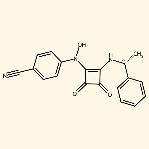 C[C@@H](Nc1c(N(O)c2ccc(C#N)cc2)c(=O)c1=O)c1ccccc1